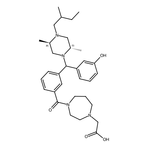 CCC(C)CN1C[C@H](C)N(C(c2cccc(O)c2)c2cccc(C(=O)N3CCCN(CC(=O)O)CC3)c2)C[C@H]1C